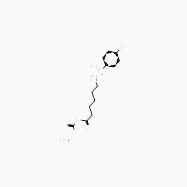 CC(C)(C)OC(=O)OC(=O)CCCCCNS(=O)(=O)c1ccc(Br)cc1